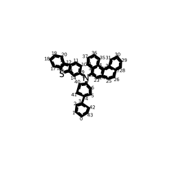 c1ccc(-c2ccc(N(c3ccc4c(c3)sc3ccccc34)c3cc4ccc5ccccc5c4c4ccccc34)cc2)cc1